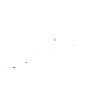 Nc1ccc(Oc2ccnc(NC(=O)N3CCC(N4CC[C@@H](O)C4)CC3)c2)c(F)c1